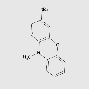 CN1c2ccccc2Oc2cc(C(C)(C)C)ccc21